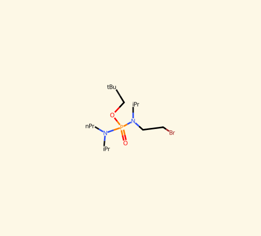 CCCN(C(C)C)P(=O)(OCC(C)(C)C)N(CCBr)C(C)C